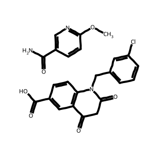 COc1ccc(C(N)=O)cn1.O=C(O)c1ccc2c(c1)C(=O)CC(=O)N2Cc1cccc(Cl)c1